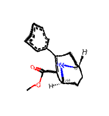 COC(=O)C1=C(c2ccccc2)C[C@@H]2CC[C@@H]1N2